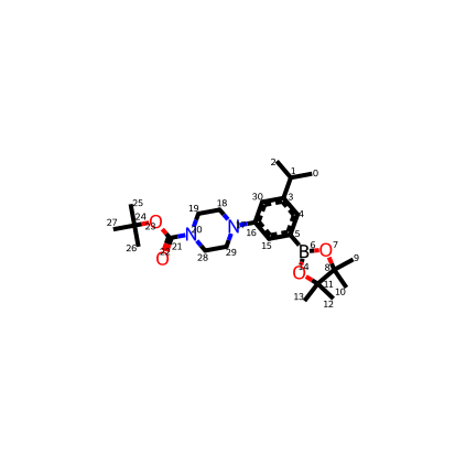 CC(C)c1cc(B2OC(C)(C)C(C)(C)O2)cc(N2CCN(C(=O)OC(C)(C)C)CC2)c1